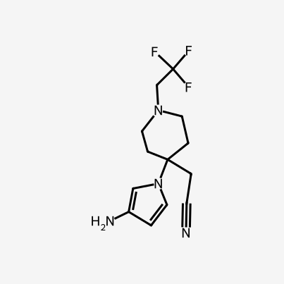 N#CCC1(n2ccc(N)c2)CCN(CC(F)(F)F)CC1